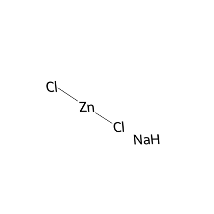 [Cl][Zn][Cl].[NaH]